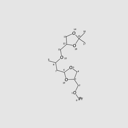 CC(C)OCC1COC(CC(C)OCC2COC(C)(C)O2)O1